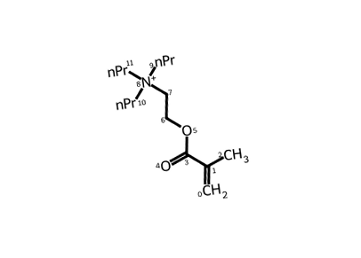 C=C(C)C(=O)OCC[N+](CCC)(CCC)CCC